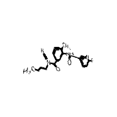 CCCCN(C#N)C(=O)c1ccc(C)c(NC(=O)c2ccc(F)nc2)c1